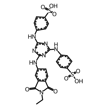 CCN1C(=O)c2ccc(Nc3nc(Nc4ccc(S(=O)(=O)O)cc4)nc(Nc4ccc(S(=O)(=O)O)cc4)n3)cc2C1=O